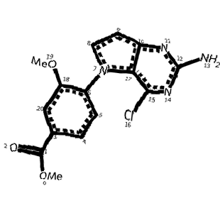 COC(=O)c1ccc(-n2ccc3nc(N)nc(Cl)c32)c(OC)c1